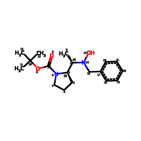 C[C@H]([C@H]1CCCN1C(=O)OC(C)(C)C)N(O)Cc1ccccc1